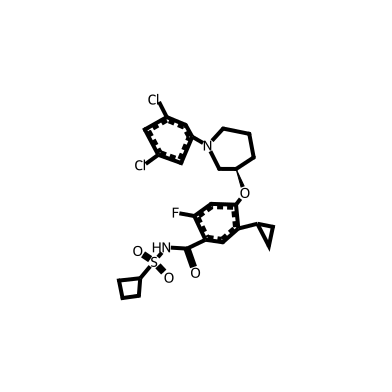 O=C(NS(=O)(=O)C1CCC1)c1cc(C2CC2)c(O[C@@H]2CCCN(c3cc(Cl)cc(Cl)c3)C2)cc1F